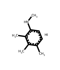 CNc1ccc(C)c(C)c1C.I